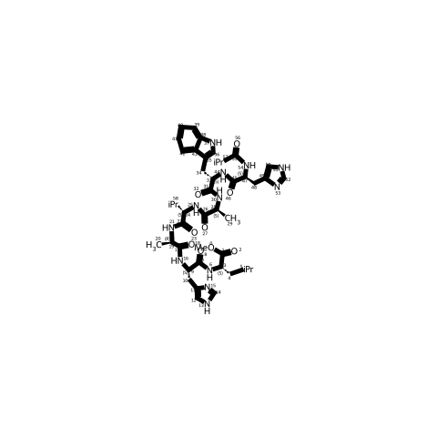 COC(=O)[C@H](CC(C)C)NC(=O)[C@H](Cc1c[nH]cn1)NC(=O)[C@@H](C)NC(=O)[C@@H](NC(=O)[C@H](C)NC(=O)[C@H](Cc1c[nH]c2ccccc12)NC(=O)[C@H](Cc1c[nH]cn1)NC(=O)C(C)C)C(C)C